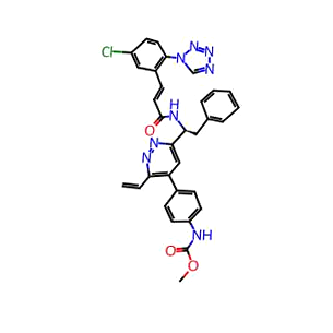 C=Cc1nnc([C@H](Cc2ccccc2)NC(=O)/C=C/c2cc(Cl)ccc2-n2cnnn2)cc1-c1ccc(NC(=O)OC)cc1